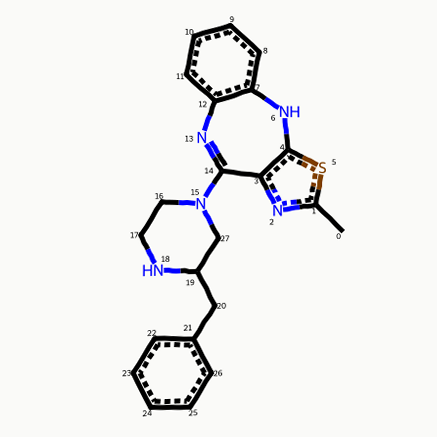 Cc1nc2c(s1)Nc1ccccc1N=C2N1CCNC(Cc2ccccc2)C1